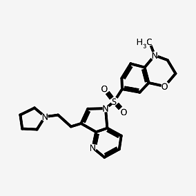 CN1CCOc2cc(S(=O)(=O)n3cc(CCN4CCCC4)c4ncccc43)ccc21